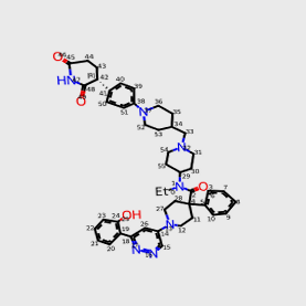 CCN(C(=O)C1(c2ccccc2)CCN(c2cnnc(-c3ccccc3O)c2)CC1)C1CCN(CC2CCN(c3ccc([C@H]4CCC(=O)NC4=O)cc3)CC2)CC1